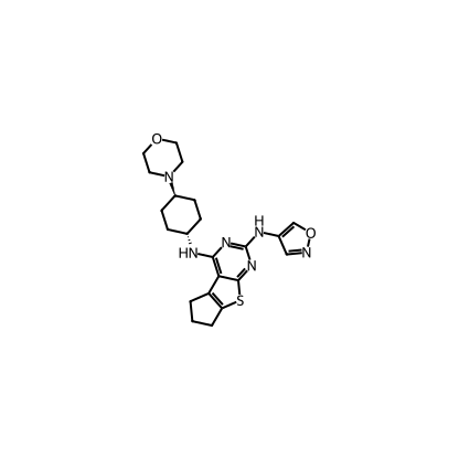 c1nocc1Nc1nc(N[C@H]2CC[C@H](N3CCOCC3)CC2)c2c3c(sc2n1)CCC3